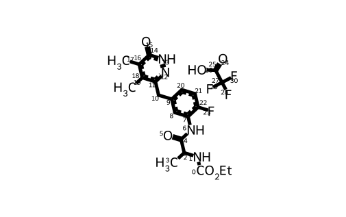 CCOC(=O)NC(C)C(=O)Nc1cc(Cc2n[nH]c(=O)c(C)c2C)ccc1F.O=C(O)C(F)(F)F